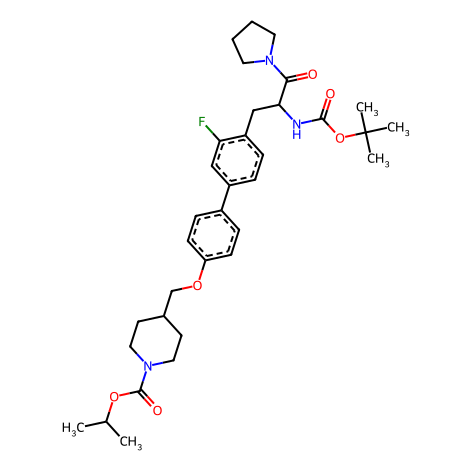 CC(C)OC(=O)N1CCC(COc2ccc(-c3ccc(CC(NC(=O)OC(C)(C)C)C(=O)N4CCCC4)c(F)c3)cc2)CC1